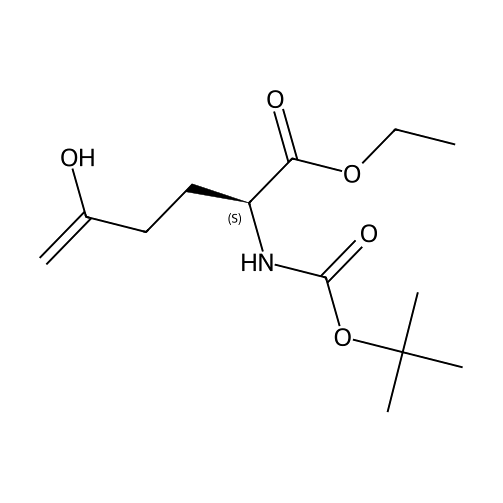 C=C(O)CC[C@H](NC(=O)OC(C)(C)C)C(=O)OCC